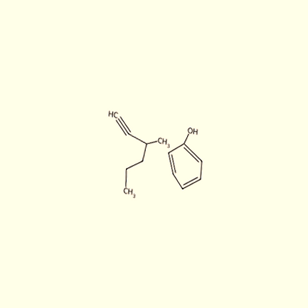 C#CC(C)CCC.Oc1ccccc1